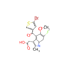 COC1=C(F)CC2=NC(C)=C(CC(=O)O)C2=C1C(=O)c1csc(Br)c1